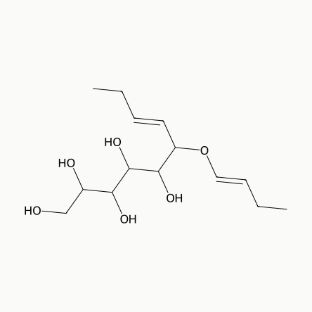 CCC=COC(C=CCC)C(O)C(O)C(O)C(O)CO